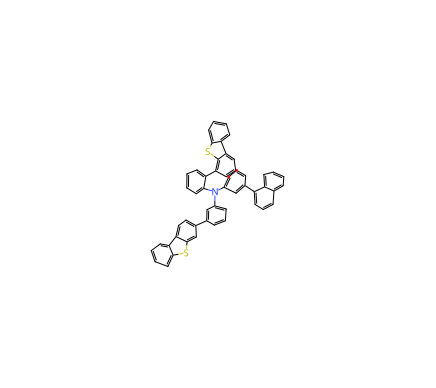 c1cc(-c2ccc3c(c2)sc2ccccc23)cc(N(c2cccc(-c3cccc4ccccc34)c2)c2ccccc2-c2cccc3c2sc2ccccc23)c1